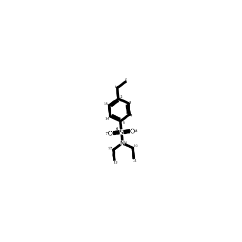 CCc1ccc(S(=O)(=O)N(CC)CC)cc1